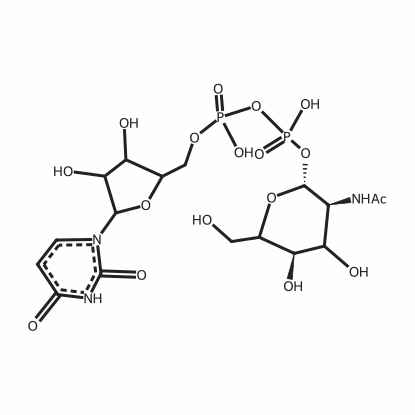 CC(=O)N[C@H]1C(O)[C@@H](O)C(CO)O[C@@H]1OP(=O)(O)OP(=O)(O)OCC1OC(n2ccc(=O)[nH]c2=O)C(O)C1O